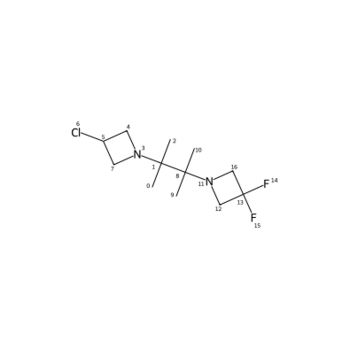 CC(C)(N1CC(Cl)C1)C(C)(C)N1CC(F)(F)C1